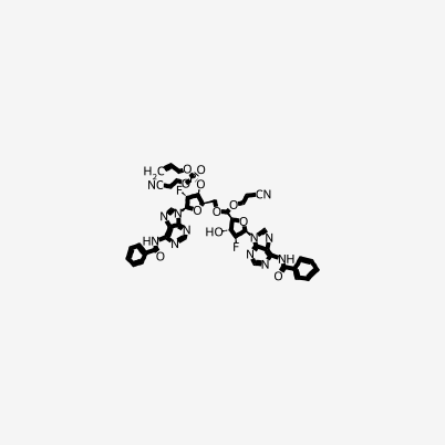 C=CCOP(=O)(OCCC#N)O[C@H]1[C@@H](F)[C@H](n2cnc3c(NC(=O)c4ccccc4)ncnc32)O[C@@H]1COC(OCCC#N)[C@H]1O[C@@H](n2cnc3c(NC(=O)c4ccccc4)ncnc32)[C@H](F)[C@@H]1O